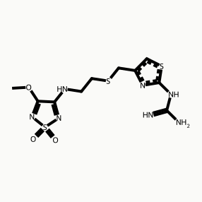 COC1=NS(=O)(=O)N=C1NCCSCc1csc(NC(=N)N)n1